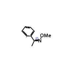 CO/N=C(/C)c1[c]cccc1